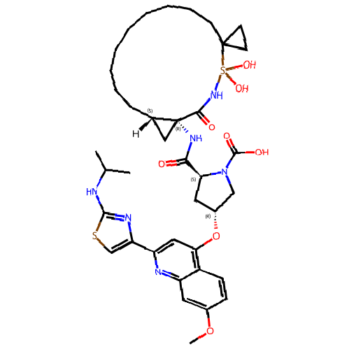 COc1ccc2c(O[C@@H]3C[C@@H](C(=O)N[C@]45C[C@@H]4CCCCCCCCCC4(CC4)S(O)(O)NC5=O)N(C(=O)O)C3)cc(-c3csc(NC(C)C)n3)nc2c1